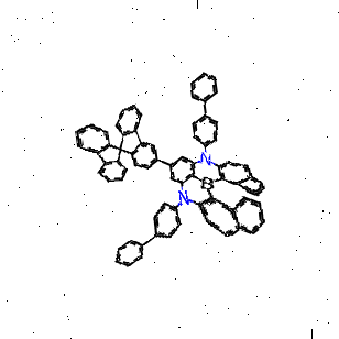 c1ccc(-c2ccc(N3c4cc(-c5ccc6c(c5)-c5ccccc5C65c6ccccc6-c6ccccc65)cc5c4B(c4c3ccc3ccccc43)c3c(ccc4ccccc34)N5c3ccc(-c4ccccc4)cc3)cc2)cc1